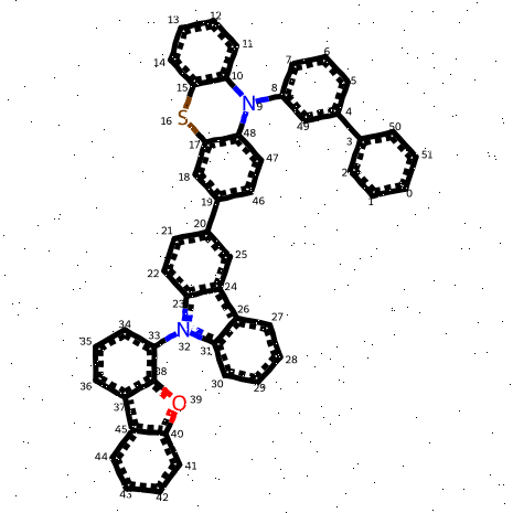 c1ccc(-c2cccc(N3c4ccccc4Sc4cc(-c5ccc6c(c5)c5ccccc5n6-c5cccc6c5oc5ccccc56)ccc43)c2)cc1